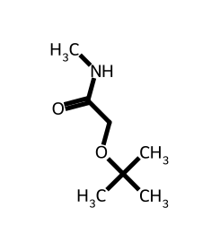 CNC(=O)COC(C)(C)C